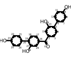 O=C(c1ccc(-c2ccc(O)cc2)c(O)c1)c1ccc(-c2ccc(O)cc2)c(O)c1